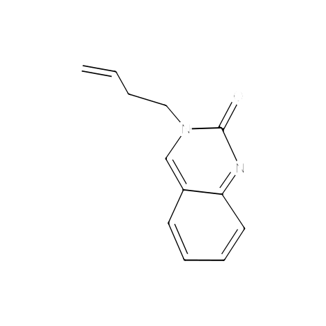 C=CCCn1cc2ccccc2nc1=O